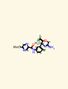 COc1cnc(C(=O)Nc2ccc(F)c(C3(C)N=C(N)COC3=C(F)F)c2)cn1